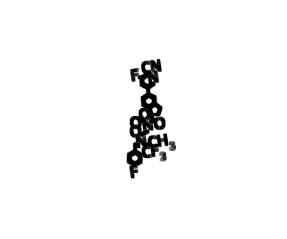 C[C@H](N(Cc1ccc(F)cc1)C(=O)CN1C(=O)O[C@@]2(CCc3cc(-c4cnc(C#N)c(F)c4)ccc32)C1=O)C(F)(F)F